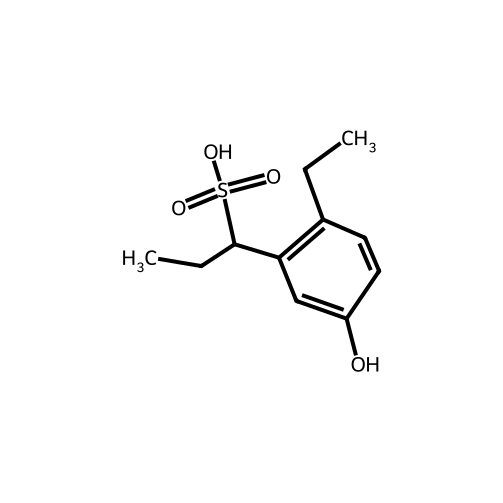 CCc1ccc(O)cc1C(CC)S(=O)(=O)O